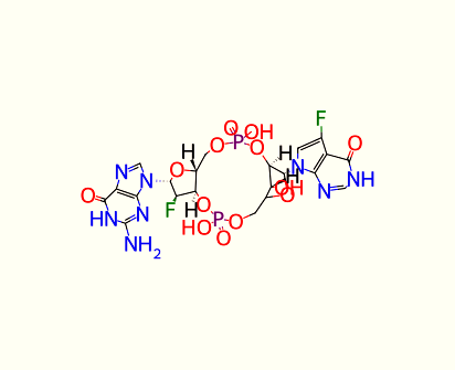 Nc1nc2c(ncn2[C@@H]2O[C@@H]3COP(=O)(O)O[C@@H]4[C@H](O)C(COP(=O)(O)O[C@H]3[C@H]2F)O[C@H]4n2cc(F)c3c(=O)[nH]cnc32)c(=O)[nH]1